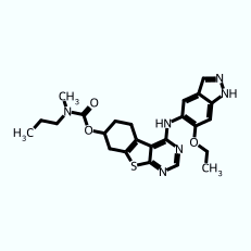 CCCN(C)C(=O)OC1CCc2c(sc3ncnc(Nc4cc5cn[nH]c5cc4OCC)c23)C1